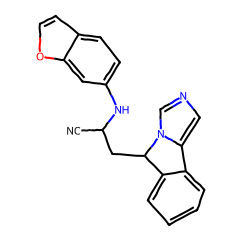 N#CC(CC1c2ccccc2-c2cncn21)Nc1ccc2ccoc2c1